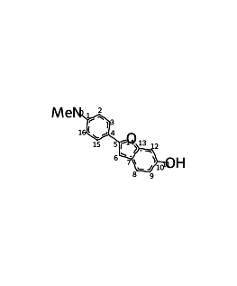 CNc1ccc(-c2cc3ccc(O)cc3o2)cc1